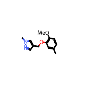 COc1ccc(C)cc1OCc1cnn(C)c1